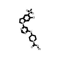 CC(C)OC(=O)N1CCC(Oc2cc(N3CCc4cc(S(C)(=O)=O)c(Cl)cc43)ncn2)CC1